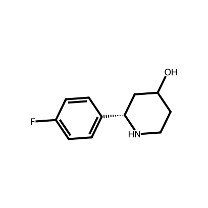 OC1CCN[C@H](c2ccc(F)cc2)C1